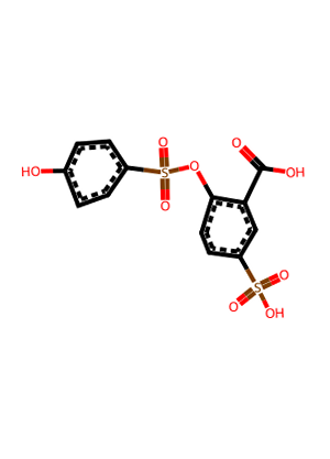 O=C(O)c1cc(S(=O)(=O)O)ccc1OS(=O)(=O)c1ccc(O)cc1